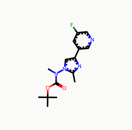 Cc1nc(-c2cncc(F)c2)cn1N(C)C(=O)OC(C)(C)C